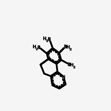 Bc1c(B)c(B)c2c(c1B)CCc1cccnc1-2